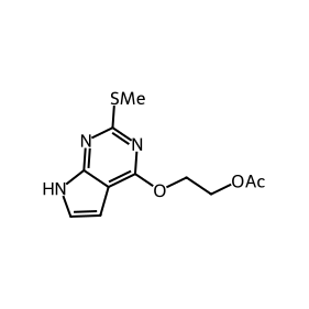 CSc1nc(OCCOC(C)=O)c2cc[nH]c2n1